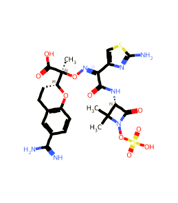 CC1(C)[C@H](NC(=O)/C(=N\O[C@](C)(C(=O)O)[C@H]2CCc3cc(C(=N)N)ccc3O2)c2csc(N)n2)C(=O)N1OS(=O)(=O)O